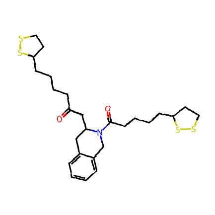 O=C(CCCCC1CCSS1)CC1Cc2ccccc2CN1C(=O)CCCCC1CCSS1